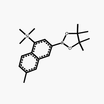 Cc1ccc2c([Si](C)(C)C)cc(B3OC(C)(C)C(C)(C)O3)cc2c1